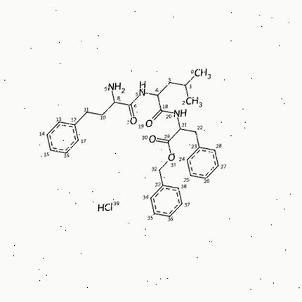 CC(C)CC(NC(=O)C(N)CCc1ccccc1)C(=O)NC(Cc1ccccc1)C(=O)OCc1ccccc1.Cl